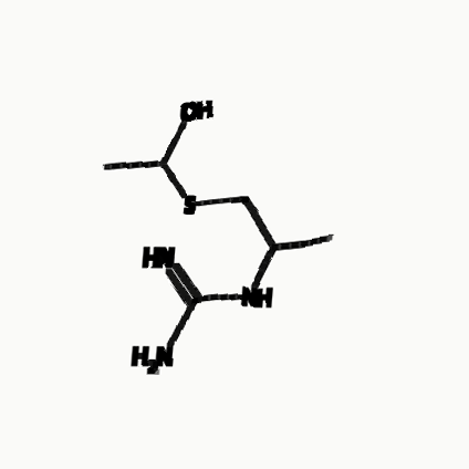 CC(CSC(C)O)NC(=N)N